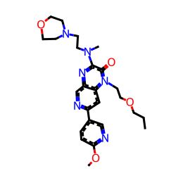 CCCOCCn1c(=O)c(N(C)CCN2CCOCC2)nc2cnc(-c3ccc(OC)nc3)cc21